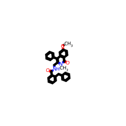 COc1ccc2c(=O)n(C)c(CNC(=O)c3ccccc3Cc3ccccc3)c(-c3ccccc3)c2c1